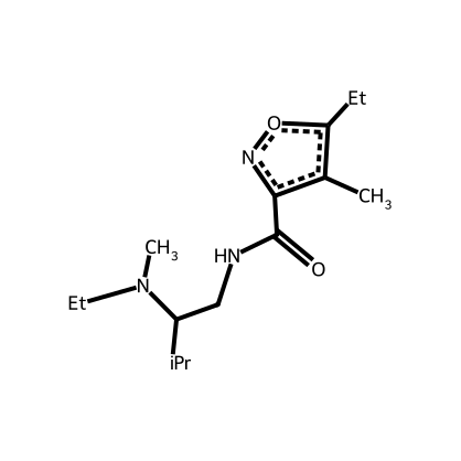 CCc1onc(C(=O)NCC(C(C)C)N(C)CC)c1C